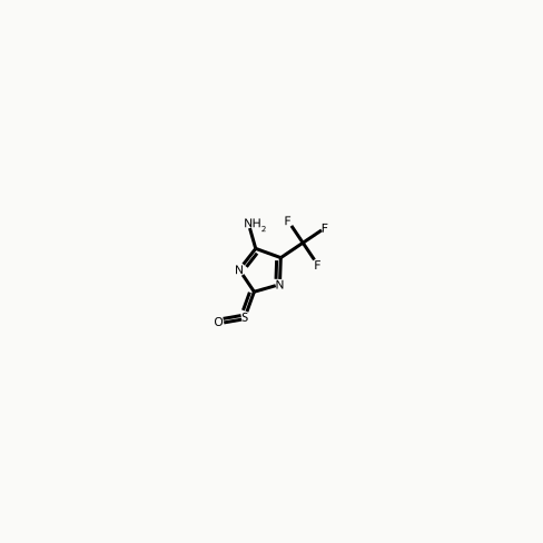 NC1=NC(=S=O)N=C1C(F)(F)F